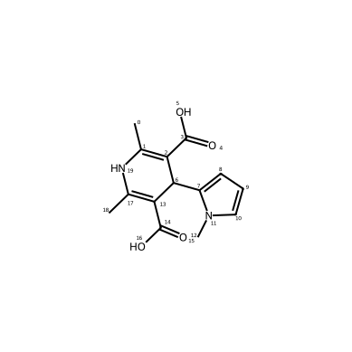 CC1=C(C(=O)O)C(c2cccn2C)C(C(=O)O)=C(C)N1